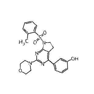 Cc1ccccc1S(=O)(=O)N1CCc2c(-c3cccc(O)c3)nc(N3CCOCC3)nc21